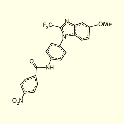 COc1ccc2c(c1)nc(C(F)(F)F)n2-c1ccc(NC(=O)c2ccc([N+](=O)[O-])cc2)cc1